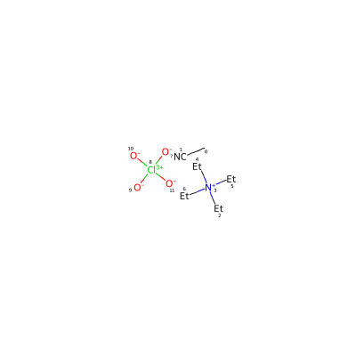 CC#N.CC[N+](CC)(CC)CC.[O-][Cl+3]([O-])([O-])[O-]